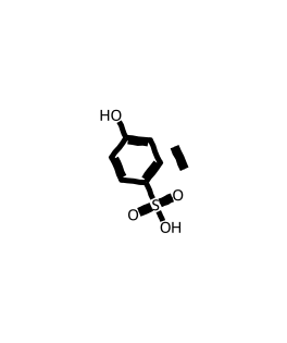 C=C.O=S(=O)(O)c1ccc(O)cc1